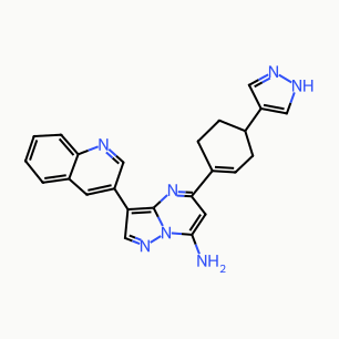 Nc1cc(C2=CCC(c3cn[nH]c3)CC2)nc2c(-c3cnc4ccccc4c3)cnn12